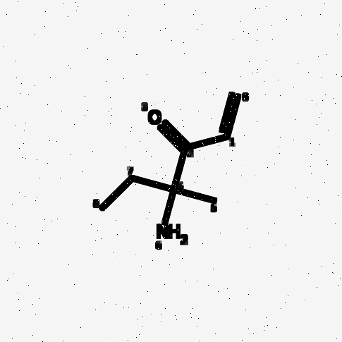 C=CC(=O)C(C)(N)CC